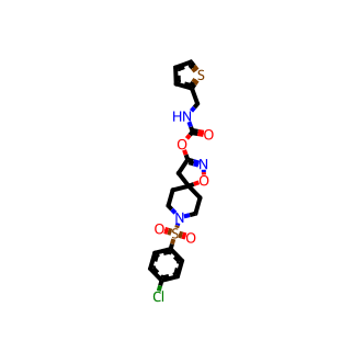 O=C(NCc1cccs1)OC1=NOC2(CCN(S(=O)(=O)c3ccc(Cl)cc3)CC2)C1